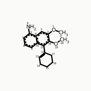 COc1cc2c(N)cccc2c(C2=CCCCC2)c1OC